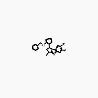 CC1CC(c2ccccc2OCc2ccccc2)n2c1nc1cc(F)c(Br)cc12